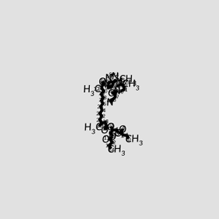 CCCC(=O)OCC(COC(=O)CCC)OC(=O)CC(C)CCCCCCCCCCC(C)C(=O)n1ccc2c(N(C)[C@H]3CN(C(=O)CC#N)CC[C@H]3C)ncnc21